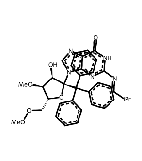 COOC[C@H]1O[C@](n2cnc3c(=O)[nH]c(N=CC(C)C)nc32)(C(c2ccccc2)(c2ccccc2)c2ccccc2)[C@H](O)[C@@H]1OC